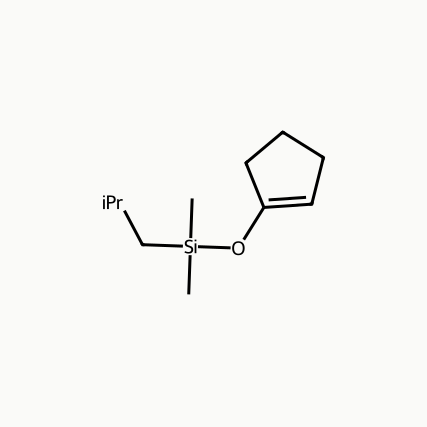 CC(C)C[Si](C)(C)OC1=CCCC1